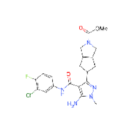 COC(=O)N1CC2CC(c3nn(C)c(N)c3C(=O)Nc3ccc(F)c(Cl)c3)CC2C1